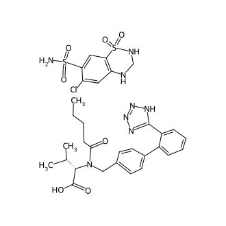 CCCCC(=O)N(Cc1ccc(-c2ccccc2-c2nnn[nH]2)cc1)[C@H](C(=O)O)C(C)C.NS(=O)(=O)c1cc2c(cc1Cl)NCNS2(=O)=O